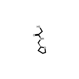 O=C(CS)NC[C@@H]1CCCO1